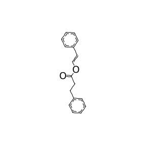 O=C(CCc1ccccc1)OC=Cc1ccccc1